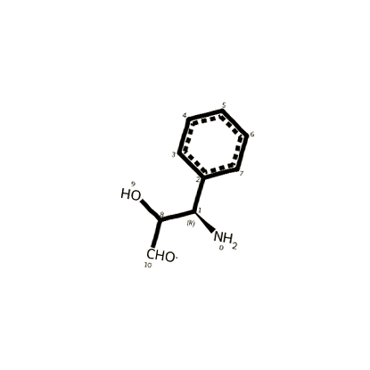 N[C@H](c1ccccc1)C(O)[C]=O